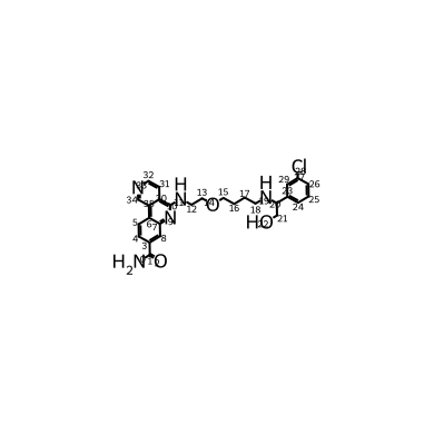 NC(=O)c1ccc2c(c1)nc(NCCOCCCCNC(CO)c1cccc(Cl)c1)c1ccncc12